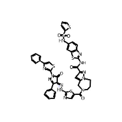 O=C(Nc1nc2ccc(NS(=O)(=O)c3cccs3)cc2s1)c1cc2n(n1)CCCN(C(=O)c1cnc(N/N=C3/C(=O)N(c4nc(-c5ccccc5)cs4)N=C3c3ccccc3)s1)C2